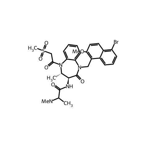 CNC(C)C(=O)N[C@@H]1C(=O)N(Cc2c(OC)ccc3c(Br)cccc23)c2ccccc2N(C(=O)CS(C)(=O)=O)[C@H]1C